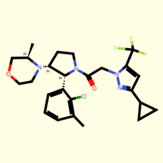 Cc1cccc([C@@H]2[C@H](N3CCOC[C@H]3C)CCN2C(=O)Cn2nc(C3CC3)cc2C(F)(F)F)c1Cl